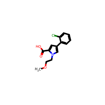 COCCn1cc(-c2ccccc2Cl)cc1C(=O)O